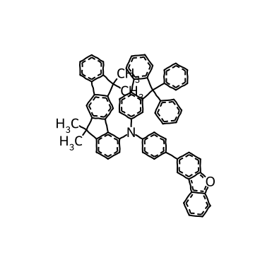 CC1(C)c2ccccc2-c2cc3c(cc21)-c1c(N(c2ccc(-c4ccc5oc6ccccc6c5c4)cc2)c2ccc4c(c2)C(c2ccccc2)(c2ccccc2)c2ccccc2-4)cccc1C3(C)C